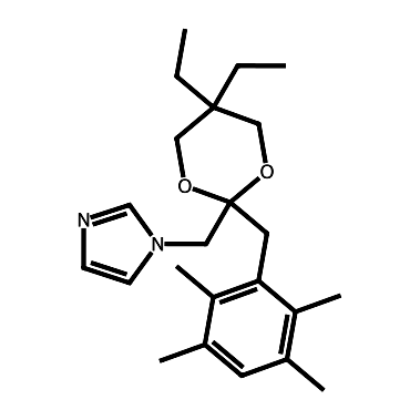 CCC1(CC)COC(Cc2c(C)c(C)cc(C)c2C)(Cn2ccnc2)OC1